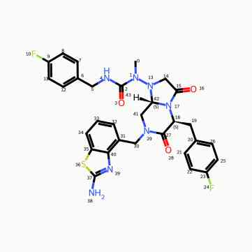 CN(C(=O)NCc1ccc(F)cc1)N1CC(=O)N2[C@@H](Cc3ccc(F)cc3)C(=O)N(Cc3cccc4sc(N)nc34)C[C@@H]21